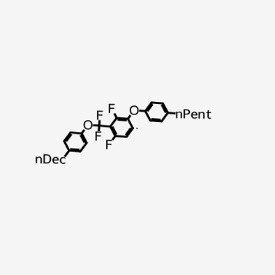 CCCCCCCCCCc1ccc(OC(F)(F)c2c(F)c[c]c(Oc3ccc(CCCCC)cc3)c2F)cc1